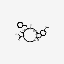 COc1ccc2c(c1)[C@H]1NC[C@@H](O)[C@H](Cc3ccccc3)NC(=O)[C@H](C(N)=O)CCCCO[C@H]1C2